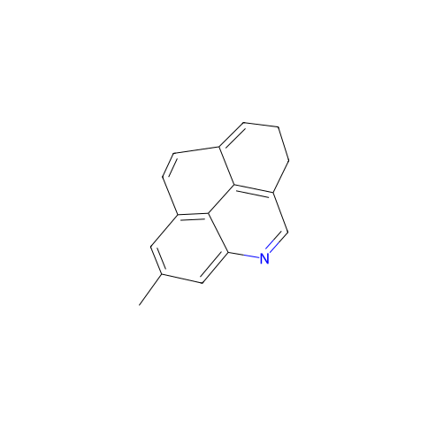 Cc1cc2ccc3c4c(cnc(c1)c24)CCC=3